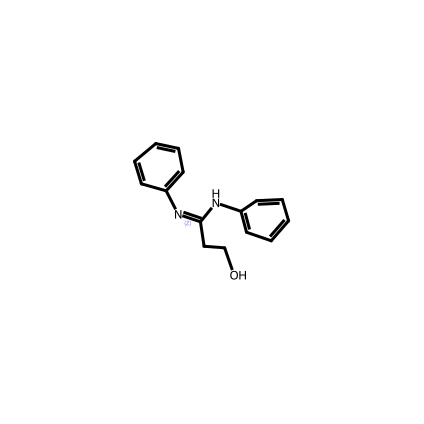 OCC/C(=N/c1ccccc1)Nc1ccccc1